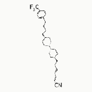 N#CC=CC=CCC[C@H]1CC[C@H]([C@H]2CC[C@H](CCCCc3ccc(C(F)(F)F)cc3)CC2)CC1